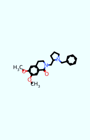 COc1cc2c(cc1OC)C(=O)N(CC1CCCN1Cc1ccccc1)CC2